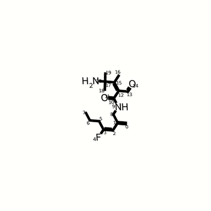 C=C(/C=C(/F)CCC)CNC(=O)/C(C=O)=C(/C)C(C)(C)N